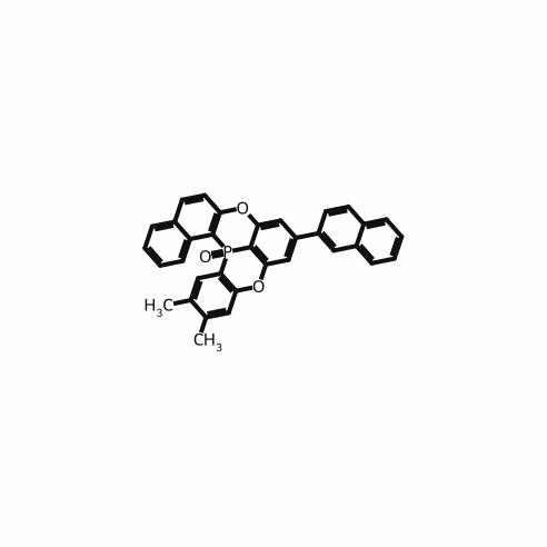 Cc1cc2c(cc1C)P1(=O)c3c(cc(-c4ccc5ccccc5c4)cc3Oc3ccc4ccccc4c31)O2